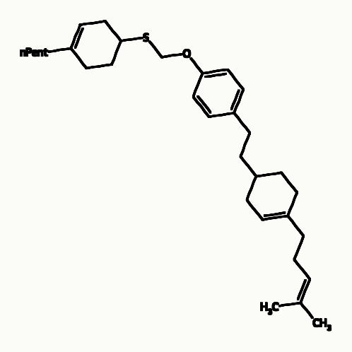 CCCCCC1=CCC(SCOc2ccc(CCC3CC=C(CCC=C(C)C)CC3)cc2)CC1